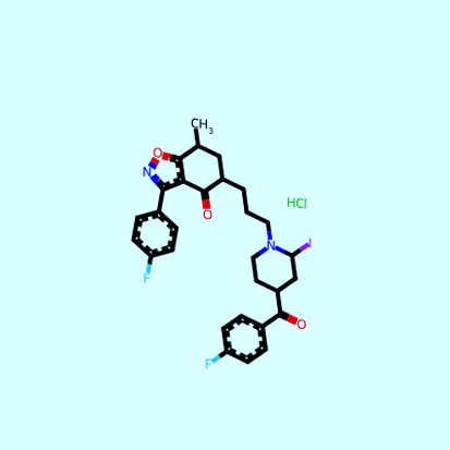 CC1CC(CCCN2CCC(C(=O)c3ccc(F)cc3)CC2I)C(=O)c2c(-c3ccc(F)cc3)noc21.Cl